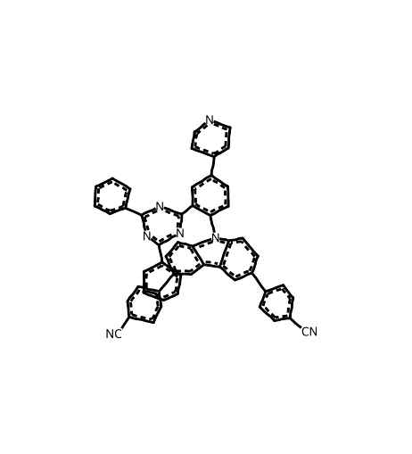 N#Cc1ccc(-c2ccc3c(c2)c2cc(-c4ccc(C#N)cc4)ccc2n3-c2ccc(-c3ccncc3)cc2-c2nc(-c3ccccc3)nc(-c3ccccc3)n2)cc1